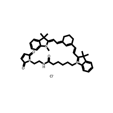 CN1C(=CC=C2C=C(C=CC3=[N+](CCCCCC(=O)NCCN4C(=O)C=CC4=O)c4ccccc4C3(C)C)CCC2)C(C)(C)c2ccccc21.[Cl-]